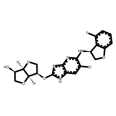 O[C@@H]1CO[C@H]2[C@@H]1OC[C@H]2Oc1nc2nc(N[C@@H]3COc4cccc(F)c43)c(Cl)cc2[nH]1